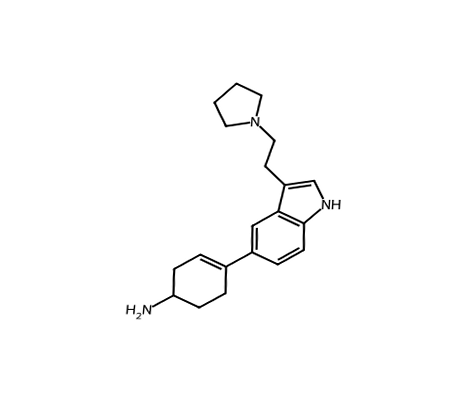 NC1CC=C(c2ccc3[nH]cc(CCN4CCCC4)c3c2)CC1